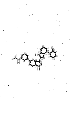 CC(C)Nc1cncc(-c2ccc3[nH]nc(-c4cc5c(-c6ccccc6F)cccc5[nH]4)c3c2)c1